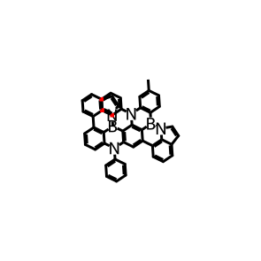 Cc1ccc2c(c1)N(c1ccccc1)c1c3c(cc4c1B1c5c(cccc5N4c4ccccc4)-c4cccc5ccn1c45)-c1cccc4ccn(c14)B23